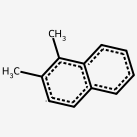 Cc1[c]cc2ccccc2c1C